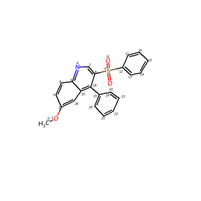 COc1ccc2ncc(S(=O)(=O)c3ccccc3)c(-c3ccccc3)c2c1